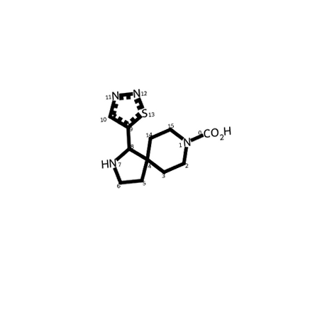 O=C(O)N1CCC2(CCNC2c2cnns2)CC1